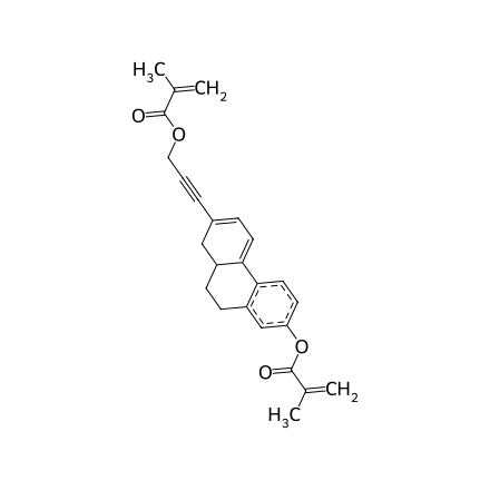 C=C(C)C(=O)OCC#CC1=CC=C2c3ccc(OC(=O)C(=C)C)cc3CCC2C1